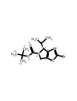 CC(C)[C@H]1c2nc(Br)sc2CN1C(=O)OC(C)(C)C